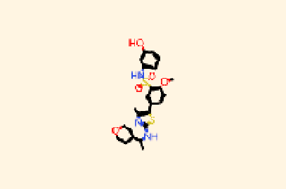 COc1ccc(-c2sc(NC(C)C3CCOCC3)nc2C)cc1S(=O)(=O)Nc1cccc(O)c1